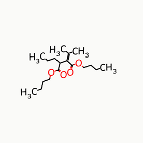 CCCCOC(=O)C(=C(C)C)C(CCC)C(=O)OCCCC